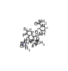 C/C(COc1c([C@H]2[C@H](C(=O)Nc3ccnc(C(N)=O)c3)O[C@@](C)(C(F)(F)F)[C@H]2C)ccc(F)c1F)=N\O